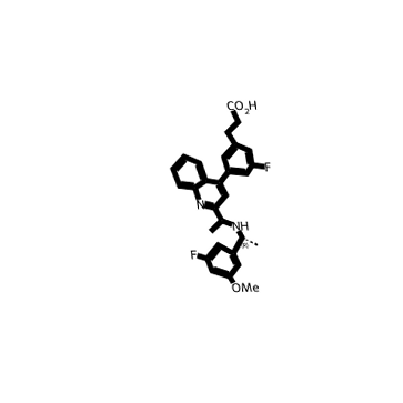 COc1cc(F)cc([C@@H](C)NC(C)c2cc(-c3cc(F)cc(CCC(=O)O)c3)c3ccccc3n2)c1